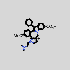 COc1ccc2c(c1)[C@@H]1[C@H](CCN1CCN(C)C)Cn1c-2c(C2CCCCC2)c2ccc(C(=O)O)cc21